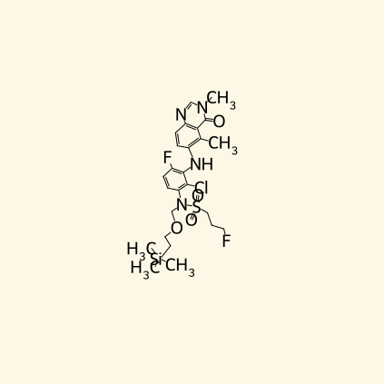 Cc1c(Nc2c(F)ccc(N(COCC[Si](C)(C)C)S(=O)(=O)CCCF)c2Cl)ccc2ncn(C)c(=O)c12